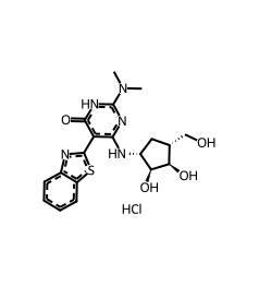 CN(C)c1nc(N[C@@H]2C[C@H](CO)[C@@H](O)[C@H]2O)c(-c2nc3ccccc3s2)c(=O)[nH]1.Cl